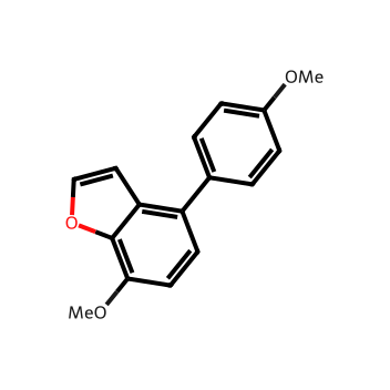 COc1ccc(-c2ccc(OC)c3occc23)cc1